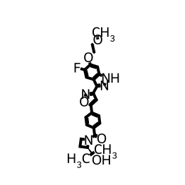 COCCOc1cc2[nH]nc(-c3cc(-c4ccc(C(=O)N5CC[C@@H]5C(C)(C)O)cc4)on3)c2cc1F